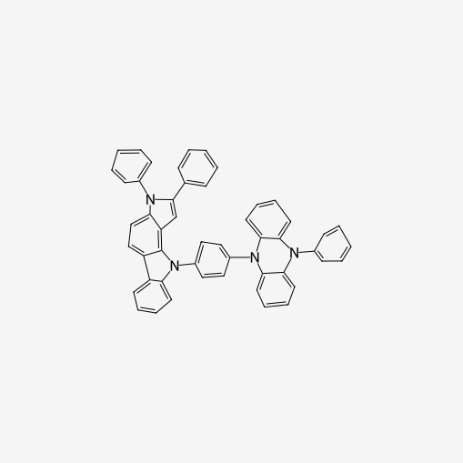 c1ccc(-c2cc3c(ccc4c5ccccc5n(-c5ccc(N6c7ccccc7N(c7ccccc7)c7ccccc76)cc5)c43)n2-c2ccccc2)cc1